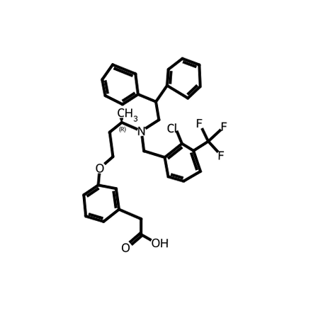 C[C@H](CCOc1cccc(CC(=O)O)c1)N(Cc1cccc(C(F)(F)F)c1Cl)CC(c1ccccc1)c1ccccc1